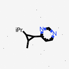 CC(C)C1C(C)C1c1ccncn1